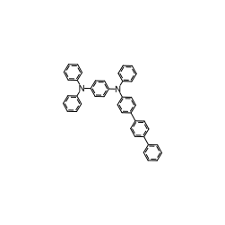 c1ccc(-c2ccc(-c3ccc(N(c4ccccc4)c4ccc(N(c5ccccc5)c5ccccc5)cc4)cc3)cc2)cc1